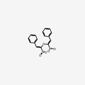 O=[N+]([O-])/C(=C/c1ccccc1)O/C(=C\c1ccccc1)[N+](=O)[O-]